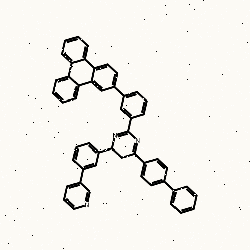 c1ccc(-c2ccc(C3=NC(c4cccc(-c5ccc6c7ccccc7c7ccccc7c6c5)c4)=NC(c4cccc(-c5cccnc5)c4)C3)cc2)cc1